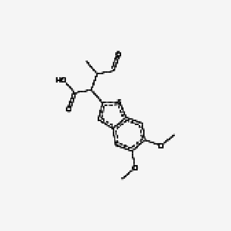 COc1cc2cc(C(C(=O)O)C(C)C=O)sc2cc1OC